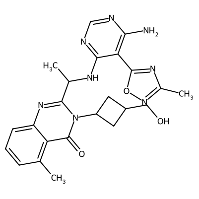 Cc1noc(-c2c(N)ncnc2NC(C)c2nc3cccc(C)c3c(=O)n2C2CC(CO)C2)n1